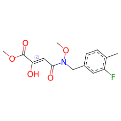 COC(=O)/C(O)=C/C(=O)N(Cc1ccc(C)c(F)c1)OC